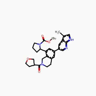 Cc1c[nH]c2ncc(-c3cc4c(c(C5CCCN5C(=O)OC(C)(C)C)c3)CN(C(=O)C3CCOC3)CC4)cc12